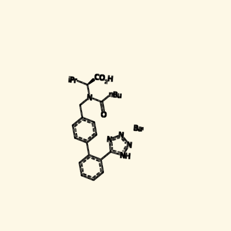 CCCCC(=O)N(Cc1ccc(-c2ccccc2-c2nnn[nH]2)cc1)[C@H](C(=O)O)C(C)C.[Ba]